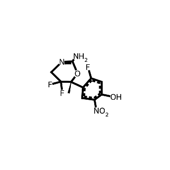 C[C@]1(c2cc([N+](=O)[O-])c(O)cc2F)OC(N)=NCC1(F)F